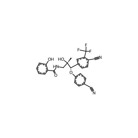 C[C@](O)(CNC(=O)c1ccccc1O)[C@@H](Oc1ccc(C#N)cc1)c1ccc(C#N)c(C(F)(F)F)c1